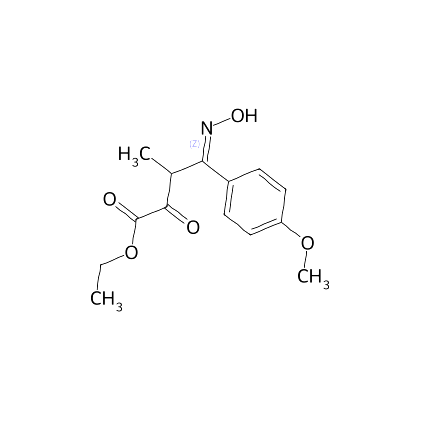 CCOC(=O)C(=O)C(C)/C(=N/O)c1ccc(OC)cc1